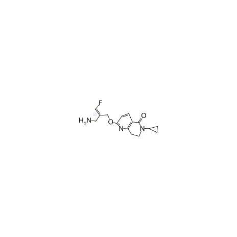 NC/C(=C/F)COc1ccc2c(n1)CCN(C1CC1)C2=O